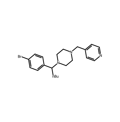 CCCCC(c1ccc(Br)cc1)N1CCN(Cc2ccncc2)CC1